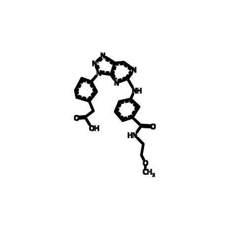 COCCNC(=O)c1cccc(Nc2ncc3nnn(-c4cccc(CC(=O)O)c4)c3n2)c1